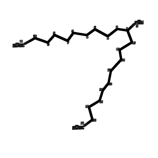 [CH2]CCCC(CCCCCCCCCCCCCCCCCCC)CCCCCCCCCCCCCCCCCCC